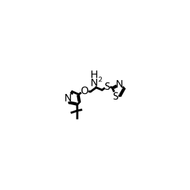 CC(C)(C)c1cncc(OC[C@@H](N)CSc2nccs2)c1